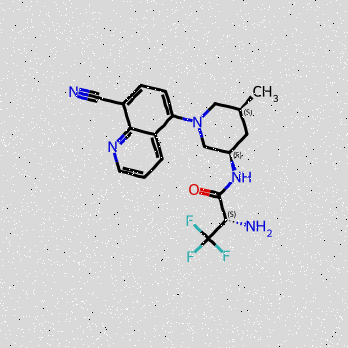 C[C@H]1C[C@@H](NC(=O)[C@H](N)C(F)(F)F)CN(c2ccc(C#N)c3ncccc23)C1